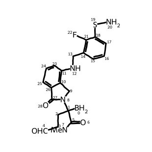 BC(CCC=O)(C(=O)NC)N1Cc2c(NCc3cccc(SN)c3F)cccc2C1=O